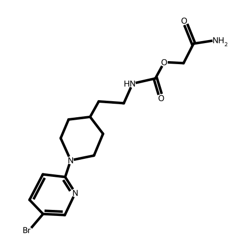 NC(=O)COC(=O)NCCC1CCN(c2ccc(Br)cn2)CC1